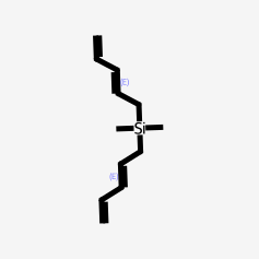 C=C/C=C/C[Si](C)(C)C/C=C/C=C